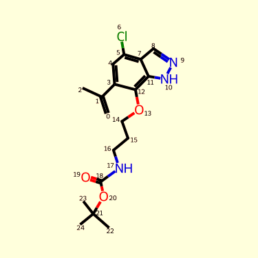 C=C(C)c1cc(Cl)c2cn[nH]c2c1OCCCNC(=O)OC(C)(C)C